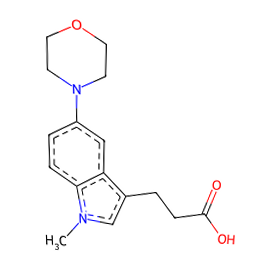 Cn1cc(CCC(=O)O)c2cc(N3CCOCC3)ccc21